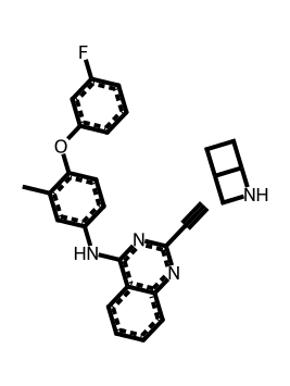 C#Cc1nc(Nc2ccc(Oc3cccc(F)c3)c(C)c2)c2ccccc2n1.C1CC2NCC12